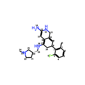 Cc1cccc(F)c1C1C=C2CNC(N)=CC2=C(NC[C@@H]2CCN(C)C2)C1